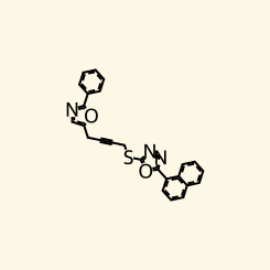 C(#CCc1cnc(-c2ccccc2)o1)CSc1nnc(-c2cccc3ccccc23)o1